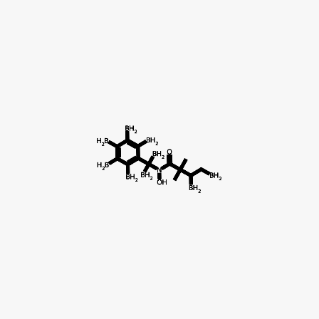 BCC(B)C(C)(C)C(=O)N(O)C(B)(B)c1c(B)c(B)c(B)c(B)c1B